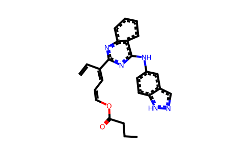 C=C/C(=C\C=C/OC(=O)CCC)c1nc(Nc2ccc3[nH]ncc3c2)c2ccccc2n1